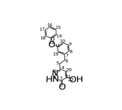 O=c1[nH]nc(CCc2cccc(Oc3ccccc3)c2)cc1O